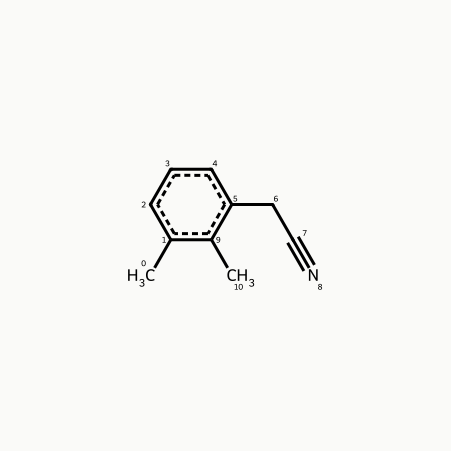 Cc1cccc(CC#N)c1C